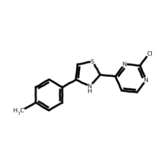 Cc1ccc(C2=CSC(c3ccnc(Cl)n3)N2)cc1